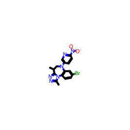 Cc1nnc2n1-c1ccc(Br)cc1N(c1ccc([N+](=O)[O-])nc1)CC2C